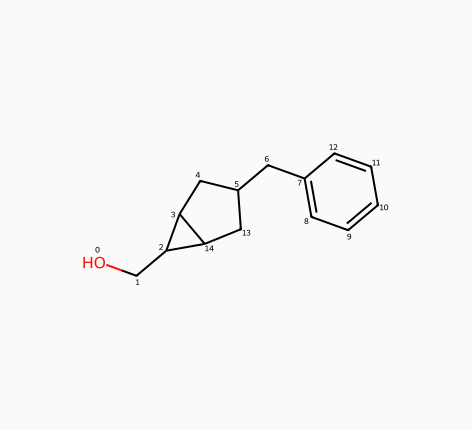 OCC1C2CC(Cc3ccccc3)CC12